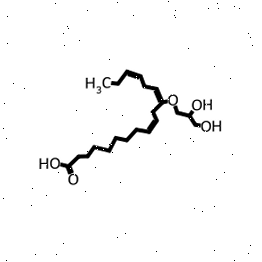 CC/C=C\C/C=C(\C/C=C\CCCCCCCC(=O)O)OCC(O)CO